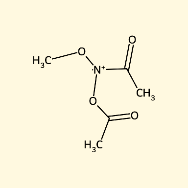 CO[N+](OC(C)=O)C(C)=O